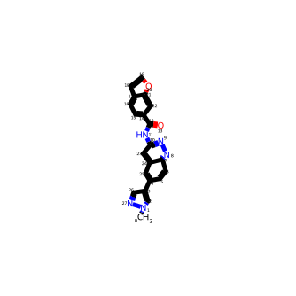 Cn1cc(-c2ccc3nnc(NC(=O)c4ccc5ccoc5c4)cc3c2)cn1